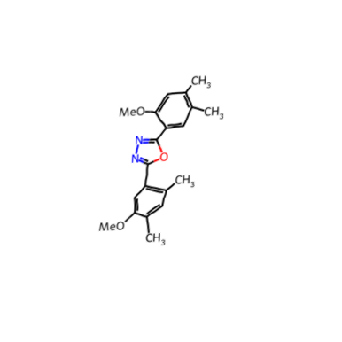 COc1cc(-c2nnc(-c3cc(C)c(C)cc3OC)o2)c(C)cc1C